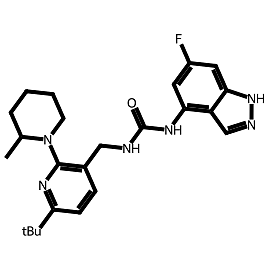 CC1CCCCN1c1nc(C(C)(C)C)ccc1CNC(=O)Nc1cc(F)cc2[nH]ncc12